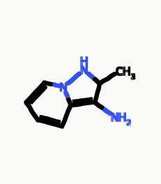 CC1NN2C=CC=CC2=C1N